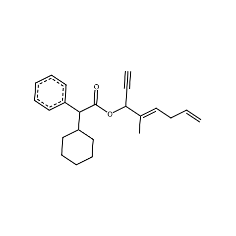 C#CC(OC(=O)C(c1ccccc1)C1CCCCC1)/C(C)=C/CC=C